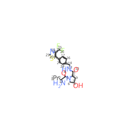 CC(C)[C@H](N)C(=O)N1CC(O)CC1C(=O)NCc1ccc(-c2scnc2C(F)F)cc1